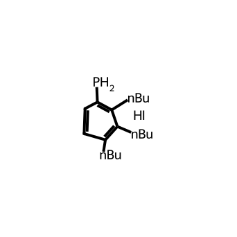 CCCCc1ccc(P)c(CCCC)c1CCCC.I